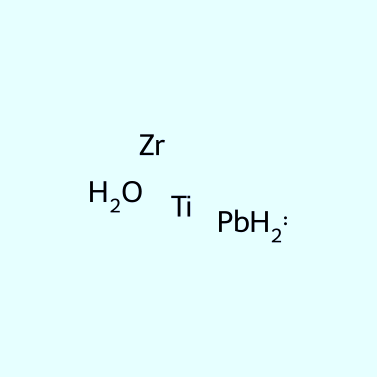 O.[PbH2].[Ti].[Zr]